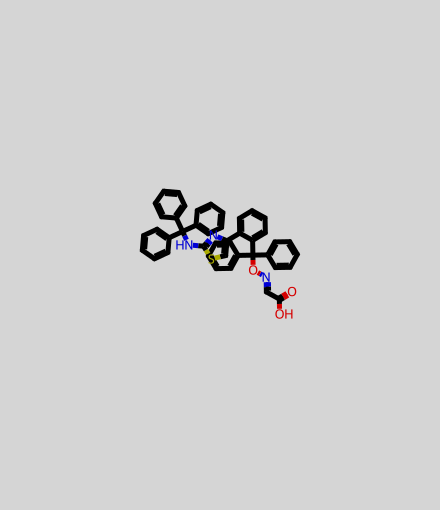 O=C(O)C=NOC(c1ccccc1)(c1ccccc1)c1ccccc1-c1csc(NC(c2ccccc2)(c2ccccc2)c2ccccc2)n1